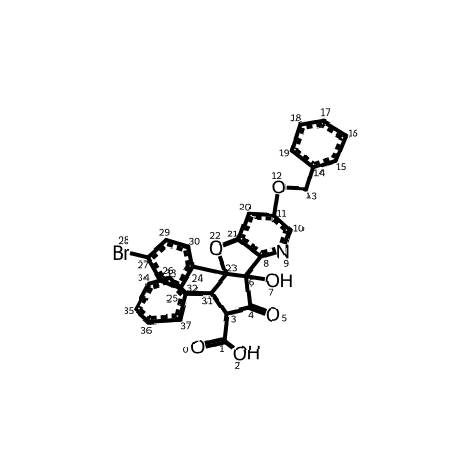 O=C(O)C1C(=O)C2(O)c3ncc(OCc4ccccc4)cc3OC2(c2ccc(Br)cc2)C1c1ccccc1